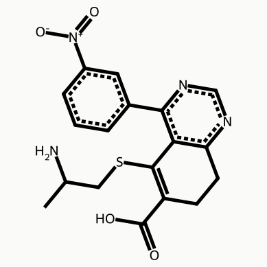 CC(N)CSC1=C(C(=O)O)CCc2ncnc(-c3cccc([N+](=O)[O-])c3)c21